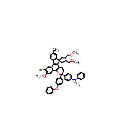 COCCCC1(CCCOC)c2cc(C)ccc2-c2c1c1c(c3cc(OC)c(Br)cc23)OC(c2ccc(Oc3ccccc3)cc2)(c2ccc(N(C)c3ccccc3)cc2)C=C1